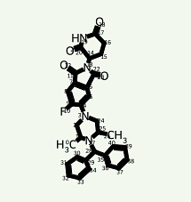 CC1CN(c2cc3c(cc2F)C(=O)N(C2CCC(=O)NC2=O)C3=O)CC(C)N1C(c1ccccc1)c1ccccc1